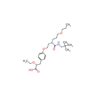 CCCOCCCN(CCOc1ccc(CC(OCC)C(=O)O)cc1)C(=O)NCC(C)(C)C